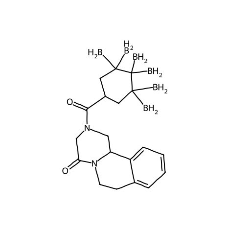 BC1(B)CC(C(=O)N2CC(=O)N3CCc4ccccc4C3C2)CC(B)(B)C1(B)B